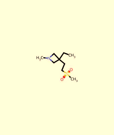 CCC1(CCS(C)(=O)=O)CN(C)C1